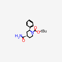 CC(C)(C)OC(=O)N1CC[C@@H](C(N)=O)C[C@H]1c1ccccc1